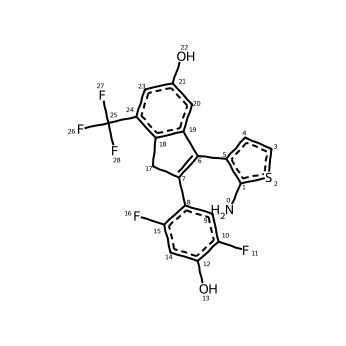 Nc1sccc1C1=C(c2cc(F)c(O)cc2F)Cc2c1cc(O)cc2C(F)(F)F